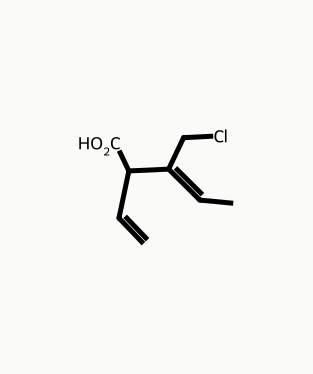 C=CC(C(=O)O)C(=CC)CCl